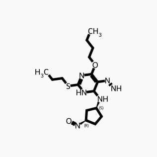 CCCCOC1=C(N=N)C(N[C@H]2CC[C@@H](N=O)C2)NC(SCCC)=N1